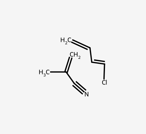 C=C(C)C#N.C=CC=CCl